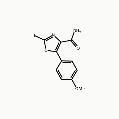 COc1ccc(-c2oc(I)nc2C(N)=O)cc1